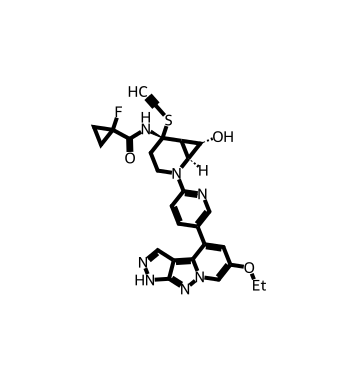 C#CS[C@@]1(NC(=O)C2(F)CC2)CCN(c2ccc(-c3cc(OCC)cn4nc5[nH]ncc5c34)cn2)[C@H]2C1[C@@H]2O